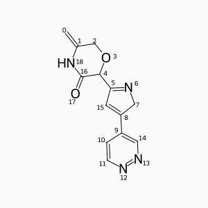 C=C1COC(C2=NCC(c3ccnnc3)=C2)C(=O)N1